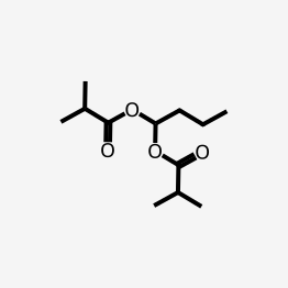 CCCC(OC(=O)C(C)C)OC(=O)C(C)C